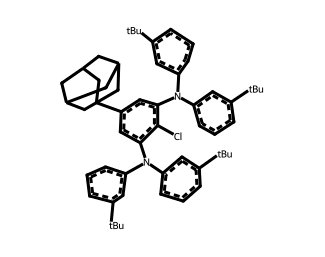 CC(C)(C)c1cccc(N(c2cccc(C(C)(C)C)c2)c2cc(C34CC5CC(CC(C5)C3)C4)cc(N(c3cccc(C(C)(C)C)c3)c3cccc(C(C)(C)C)c3)c2Cl)c1